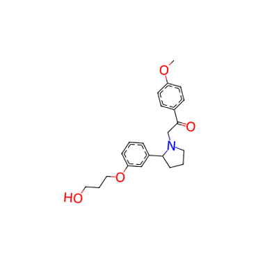 COc1ccc(C(=O)CN2CCCC2c2cccc(OCCCO)c2)cc1